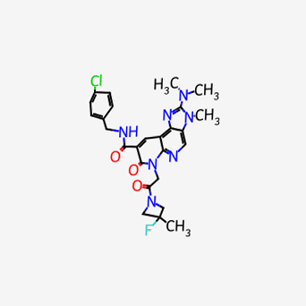 CN(C)c1nc2c3cc(C(=O)NCc4ccc(Cl)cc4)c(=O)n(CC(=O)N4CC(C)(F)C4)c3ncc2n1C